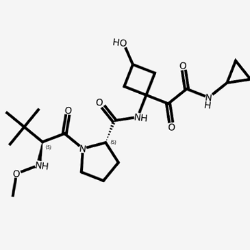 CON[C@H](C(=O)N1CCC[C@H]1C(=O)NC1(C(=O)C(=O)NC2CC2)CC(O)C1)C(C)(C)C